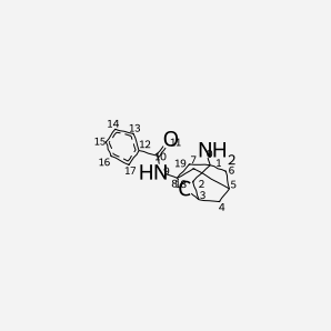 NC12CC3CC(C1)CC(NC(=O)c1ccccc1)(C3)C2